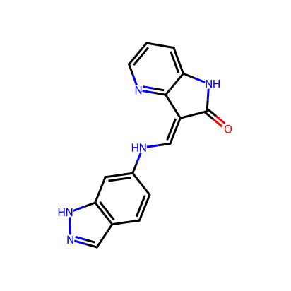 O=C1Nc2cccnc2/C1=C\Nc1ccc2cn[nH]c2c1